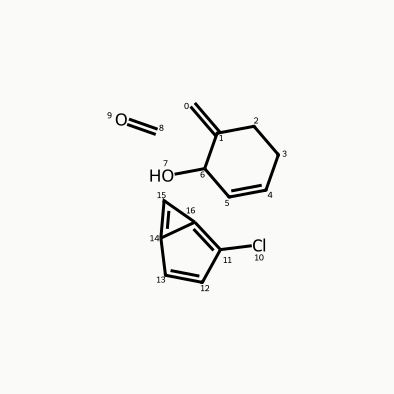 C=C1CCC=CC1O.C=O.Clc1ccc2cc1-2